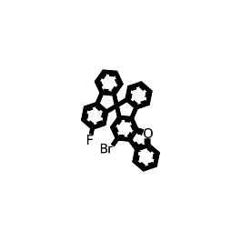 Fc1ccc2c(c1)C1(c3ccccc3-2)c2ccccc2-c2c1cc(Br)c1c2oc2ccccc21